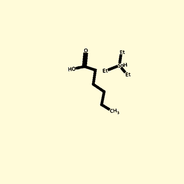 CCCCCC(=O)O.C[CH2][SnH]([CH2]C)[CH2]C